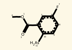 COC(=O)c1cc(F)ccc1[AsH2]